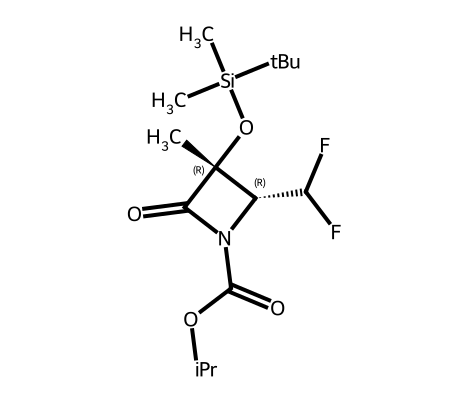 CC(C)OC(=O)N1C(=O)[C@](C)(O[Si](C)(C)C(C)(C)C)[C@@H]1C(F)F